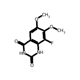 COc1cc2c(=O)[nH]c(=O)[nH]c2c(F)c1OC